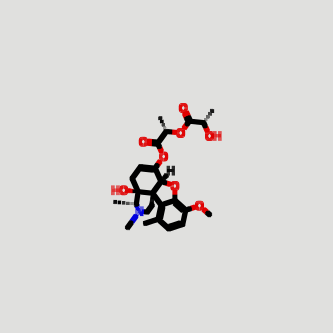 COc1ccc(C)c2c1O[C@H]1C(OC(=O)[C@H](C)OC(=O)[C@H](C)O)=CC[C@@]3(O)[C@@H](C)N(C)CC[C@]213